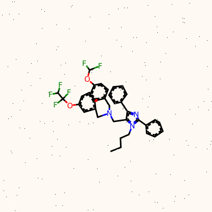 CCCCn1c(-c2ccccc2)nc(-c2ccccc2)c1CN(Cc1ccc(OC(F)F)cc1)Cc1cccc(OC(F)(F)C(F)F)c1